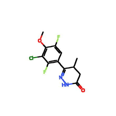 COc1c(F)cc(C2=NNC(=O)CC2C)c(F)c1Cl